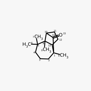 CC12CCCC(C)(C)C3(C)C(CCC13)C2=O